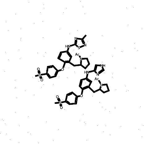 CC(=O)N1CCCC1Cc1cc(Nc2c[nH]cn2)ccc1Oc1ccc(S(C)(=O)=O)cc1.CC(=O)N1CCCC1Cc1cc(Nc2nc(C)ns2)ccc1Oc1ccc(S(C)(=O)=O)cc1